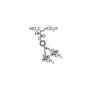 CS(=O)(=O)OCCN(CCOS(C)(=O)=O)c1ccc(OC(=O)N[C@@H](CCC(=O)O)C(=O)O)cc1